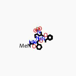 CNC(C)C(=O)NC(C(=O)N1CCC2C1C(C(=O)NC(C)c1ccccc1)CN2S(C)(=O)=O)C1CCCCC1